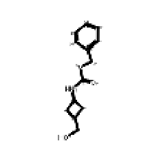 O=C(NC1CC(CO)C1)OCc1ccccc1